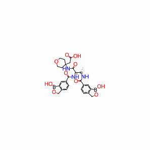 C[C@H](NC(=O)c1ccc2c(c1)B(O)OC2)[C@H](NC(=O)c1ccc2c(c1)B(O)OC2)C(=O)NC1(CC(=O)O)CCOCC1